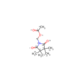 CC(=O)OCN1C(=O)C(C)(C)C(C)(C)C1=O